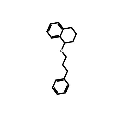 c1ccc(CCCOC2CCCc3ccccc32)cc1